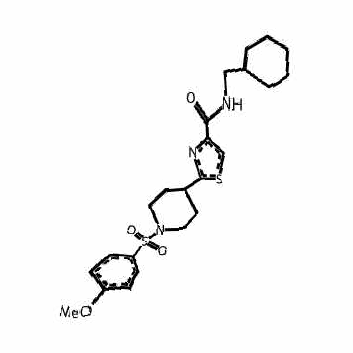 COc1ccc(S(=O)(=O)N2CCC(c3nc(C(=O)NCC4CCCCC4)cs3)CC2)cc1